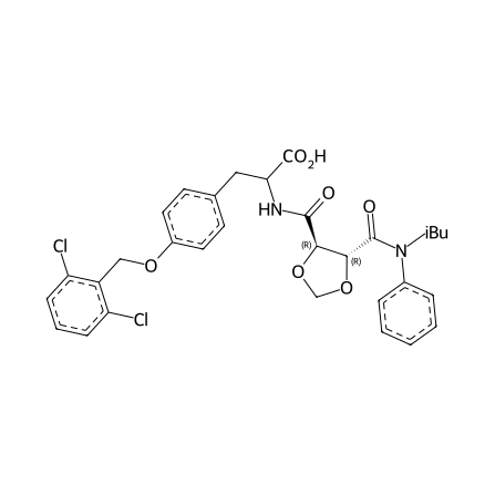 CCC(C)N(C(=O)[C@@H]1OCO[C@H]1C(=O)NC(Cc1ccc(OCc2c(Cl)cccc2Cl)cc1)C(=O)O)c1ccccc1